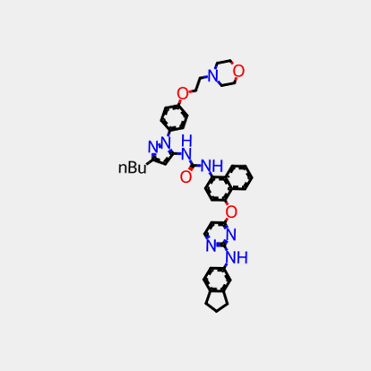 CCCCc1cc(NC(=O)Nc2ccc(Oc3ccnc(Nc4ccc5c(c4)CCC5)n3)c3ccccc23)n(-c2ccc(OCCN3CCOCC3)cc2)n1